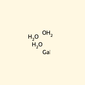 O.O.O.[Ga]